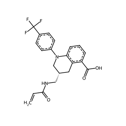 C=CC(=O)NC[C@H]1Cc2c(C(=O)O)cccc2N(c2ccc(C(F)(F)F)cc2)C1